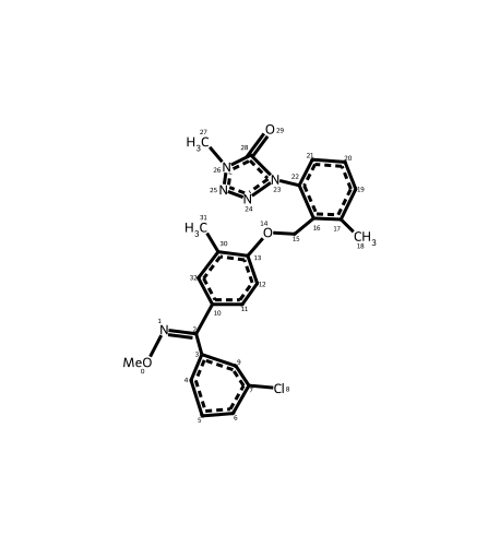 CO/N=C(\c1cccc(Cl)c1)c1ccc(OCc2c(C)cccc2-n2nnn(C)c2=O)c(C)c1